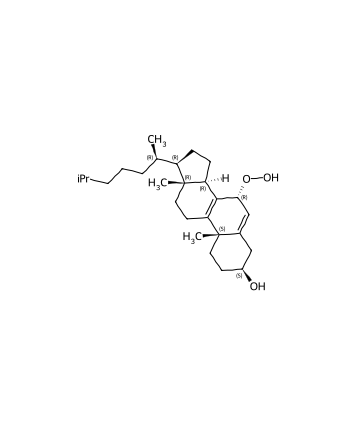 CC(C)CCC[C@@H](C)[C@H]1CC[C@H]2C3=C(CC[C@]12C)[C@@]1(C)CC[C@H](O)CC1=C[C@H]3OO